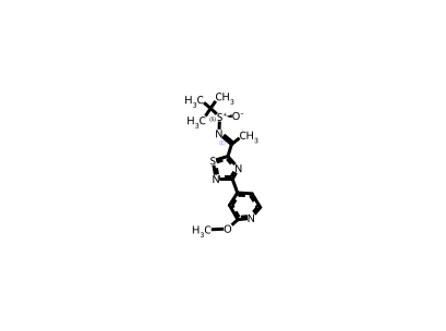 COc1cc(-c2nsc(/C(C)=N/[S@+]([O-])C(C)(C)C)n2)ccn1